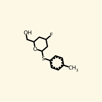 Cc1ccc(SC2CC(F)CC(CO)O2)cc1